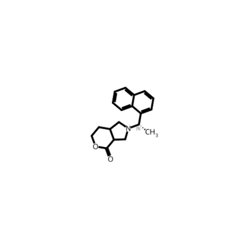 C[C@@H](c1cccc2ccccc12)N1CC2CCOC(=O)C2C1